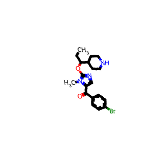 CCC(Oc1ncc(C(=O)c2ccc(Br)cc2)n1C)C1CCNCC1